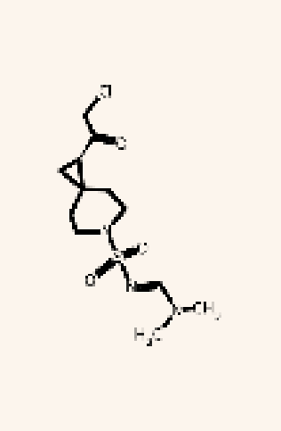 CN(C)C=NS(=O)(=O)N1CCC2(CC1)C[C@H]2C(=O)CCl